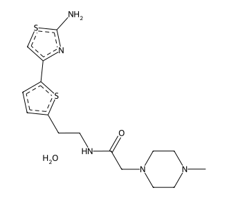 CN1CCN(CC(=O)NCCc2ccc(-c3csc(N)n3)s2)CC1.O